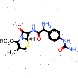 CC1=C(C(=O)O)N2C(=O)C(NC(=O)C(N)c3ccc(NC(N)=O)cc3)[C@@H]2SC1